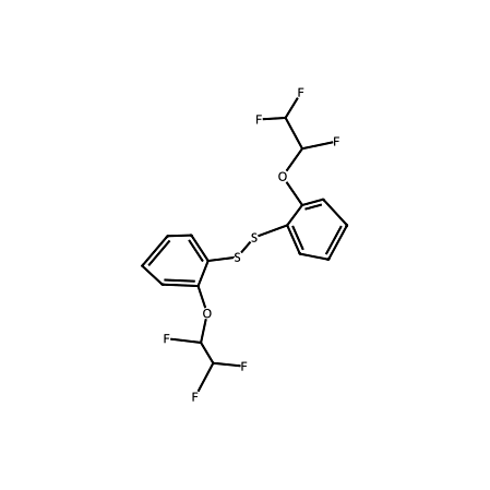 FC(F)C(F)Oc1ccccc1SSc1ccccc1OC(F)C(F)F